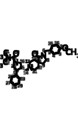 COc1ccc(CN2CCC3(CCN(C[C@H]4CN(C(=O)N(C)C)CC4c4ccccc4)CC3)C2=O)cc1